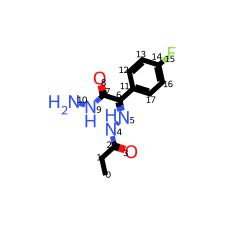 CCC(=O)NN=C(C(=O)NN)c1ccc(F)cc1